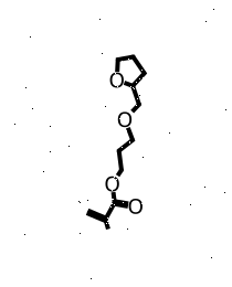 C=C(C)C(=O)OCCCOCC1CCCO1